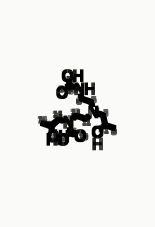 CC(O)CN(CCNC(=O)O)CCN(CC(C)O)C(=O)O